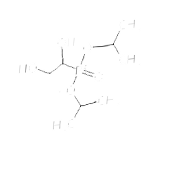 CC(C)OP(=O)(OC(C)C)C(O)CO